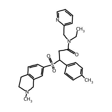 CCN(Cc1ccccn1)C(=O)CC(c1ccc(C)cc1)S(=O)(=O)c1ccc2c(c1)CN(C)CC2